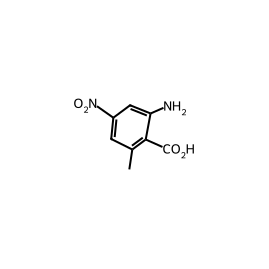 Cc1cc([N+](=O)[O-])cc(N)c1C(=O)O